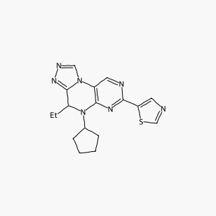 CCC1c2nncn2-c2cnc(-c3cncs3)nc2N1C1CCCC1